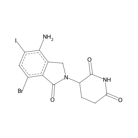 Nc1c(I)cc(Br)c2c1CN(C1CCC(=O)NC1=O)C2=O